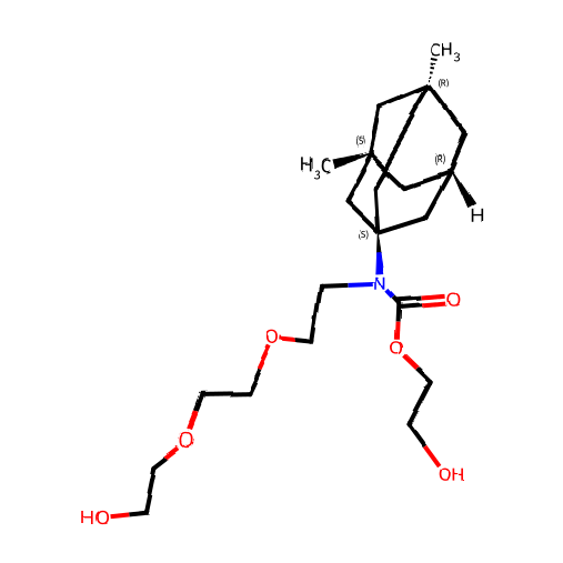 C[C@]12C[C@@H]3C[C@](C)(C1)C[C@](N(CCOCCOCCO)C(=O)OCCO)(C3)C2